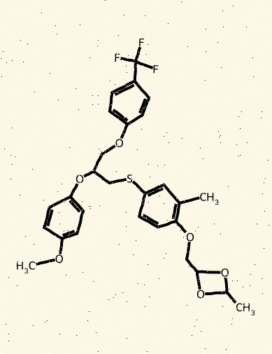 COc1ccc(OC(COc2ccc(C(F)(F)F)cc2)CSc2ccc(OCC3OC(C)O3)c(C)c2)cc1